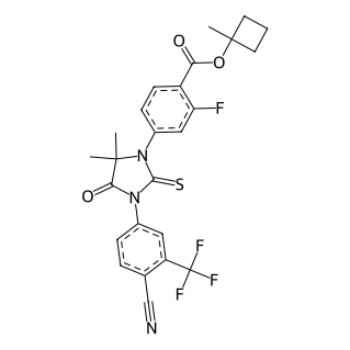 CC1(OC(=O)c2ccc(N3C(=S)N(c4ccc(C#N)c(C(F)(F)F)c4)C(=O)C3(C)C)cc2F)CCC1